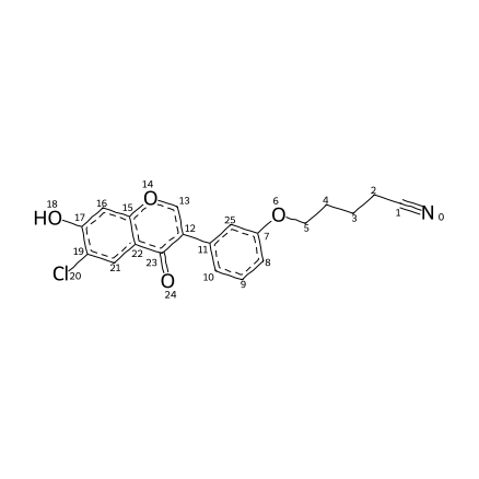 N#CCCCCOc1cccc(-c2coc3cc(O)c(Cl)cc3c2=O)c1